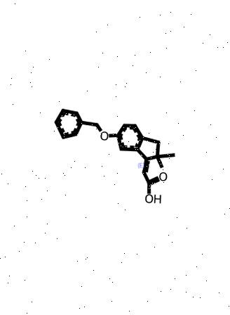 CC1(C)Cc2ccc(OCc3ccccc3)cc2/C1=C/C(=O)O